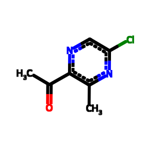 CC(=O)c1ncc(Cl)nc1C